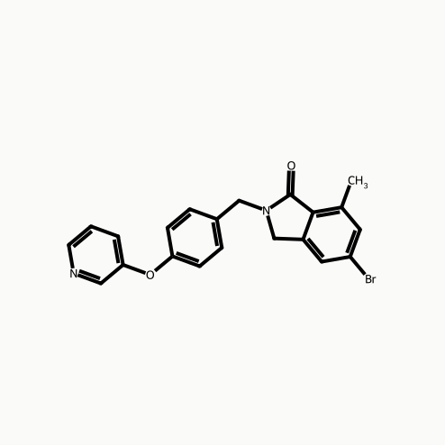 Cc1cc(Br)cc2c1C(=O)N(Cc1ccc(Oc3cccnc3)cc1)C2